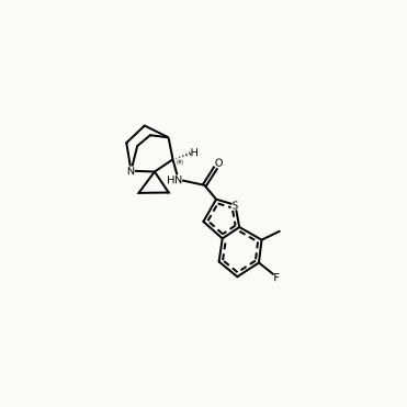 Cc1c(F)ccc2cc(C(=O)N[C@@H]3C4CCN(CC4)C34CC4)sc12